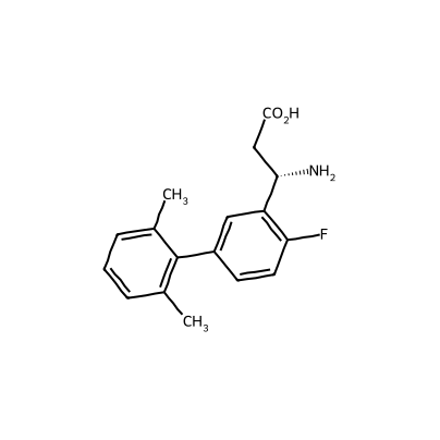 Cc1cccc(C)c1-c1ccc(F)c([C@@H](N)CC(=O)O)c1